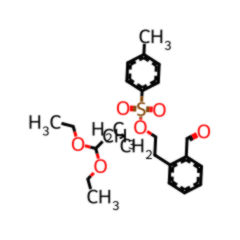 C=C.CCOC(C)OCC.Cc1ccc(S(=O)(=O)OCCc2ccccc2C=O)cc1